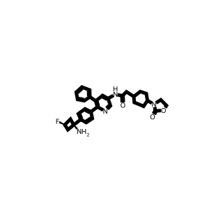 N[C@]1(c2ccc(-c3ncc(NC(=O)CC4CCC(N5CCOC5=O)CC4)cc3-c3ccccc3)cc2)C[C@H](F)C1